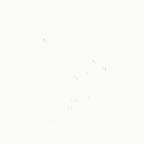 CC1(C)c2cc3c(cc2-c2ccc4ccccc4c21)c1cc(-c2ccc4c(c2)c2ccccc2n4-c2ccccc2)ccc1n3-c1cc(-c2ccccc2)cc(-c2nc(-c3ccccc3)c3ccccc3n2)c1